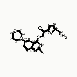 Cc1nc(SCC(=O)c2ccc(CN)s2)c2cc(N3CCCOCC3)ccc2n1